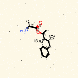 CC[C@H](Cc1ccccc1)C(OCC(C)C)C(C)OC(=O)[C@H](C)N